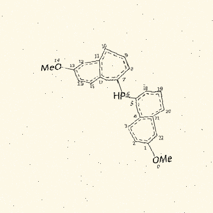 COc1ccc2c(Pc3cccc4cc(OC)ccc34)cccc2c1